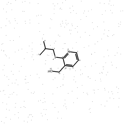 CC(C)CSc1ncccc1CO